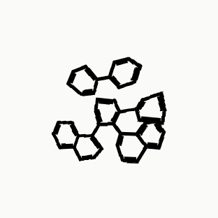 c1ccc(-c2cccc(-c3cccc4ccccc34)c2-c2cccc3ccccc23)cc1.c1ccc(-c2ccccc2)cc1